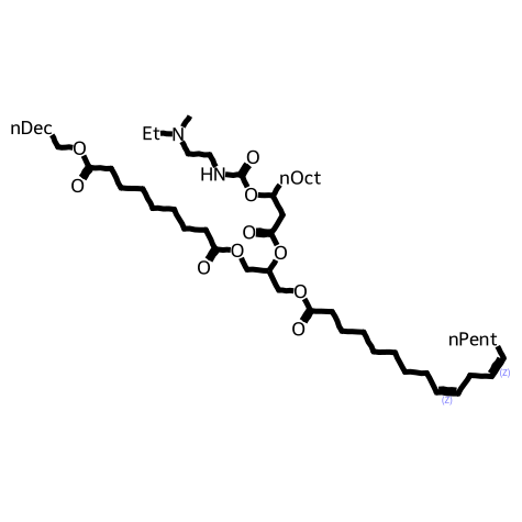 CCCCC/C=C\C/C=C\CCCCCCCC(=O)OCC(COC(=O)CCCCCCCC(=O)OCCCCCCCCCCC)OC(=O)CC(CCCCCCCC)OC(=O)NCCN(C)CC